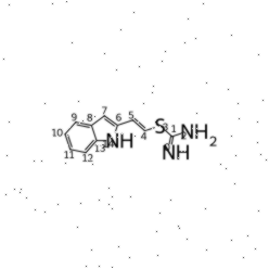 N=C(N)S/C=C/c1cc2ccccc2[nH]1